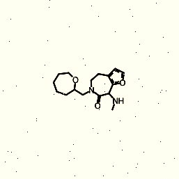 CNC1C(=O)N(CC2CCCCCO2)CCc2ccoc21